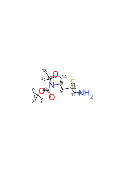 CC(C)(C)OC(=O)N1[C@H](CC(F)CN)COC1(C)C